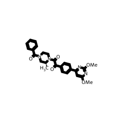 COc1cc(-c2ccc(C(=O)C(=O)N3CCN(C(=O)c4ccccc4)C[C@H]3C)cc2)nc(OC)n1